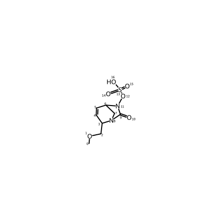 COCC1C=CC2CN1C(=O)N2OS(=O)(=O)O